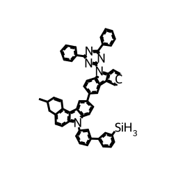 CC1C=Cc2c(ccc3c2c2cc(-c4ccc5c(c4)c4ccccc4n5-c4nc(-c5ccccc5)nc(-c5ccccc5)n4)ccc2n3-c2cccc(-c3cccc([SiH3])c3)c2)C1